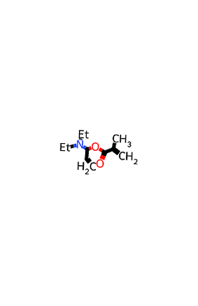 C=CC(OC(=O)C(=C)C)N(CC)CC